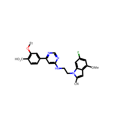 CCOc1cc(-c2cc(NCCn3c(C#N)cc4c(OC)cc(F)cc43)ncn2)ccc1C(=O)O